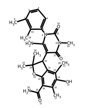 Cc1cccc(-n2c(N)c(C3c4c(C)c(O)c(C)c(C(N)=O)c4OC3(C)C)c(=O)n(C)c2=O)c1C